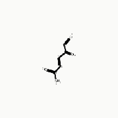 NC(=O)C=CC(=O)C=O